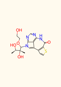 C[C@@H](O)[C@@](C)(O)C(OCCO)n1cc2c3c(ncnc31)NC(=O)c1sccc1-2